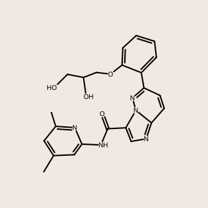 Cc1cc(C)nc(NC(=O)c2cnc3ccc(-c4ccccc4OCC(O)CO)nn23)c1